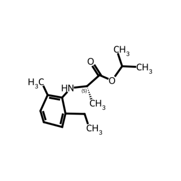 CCc1cccc(C)c1N[C@@H](C)C(=O)OC(C)C